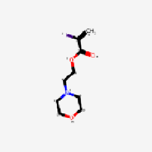 C=C(I)C(=O)OCCN1CCOCC1